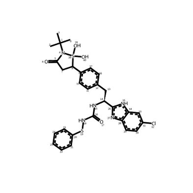 CC(C)(C)N1C(=O)CC(c2ccc(C[C@H](NC(=O)NSc3ccccc3)c3nc4ccc(Cl)cc4[nH]3)cc2)S1(O)O